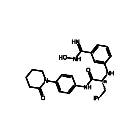 CC(C)C[C@@H](Nc1cccc(C(=N)NO)c1)C(=O)Nc1ccc(N2CCCCC2=O)cc1